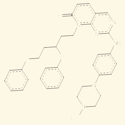 CN1CCN(c2ccc(Nc3ncc4ccc(=O)n(CCC(CCOc5ccccc5)Oc5ccccc5)c4n3)cc2)CC1